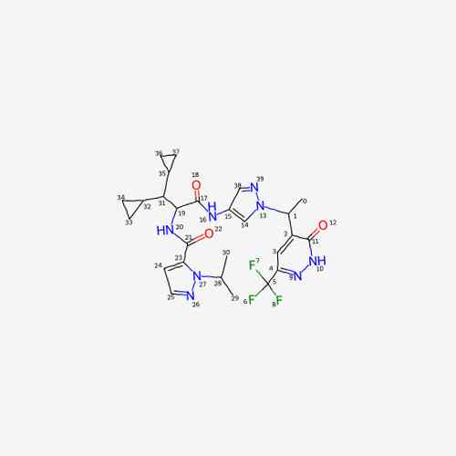 CC(c1cc(C(F)(F)F)n[nH]c1=O)n1cc(NC(=O)C(NC(=O)c2ccnn2C(C)C)C(C2CC2)C2CC2)cn1